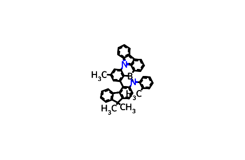 Cc1cc2c3c(c1)-n1c4ccccc4c4cccc(c41)B3N(c1ccccc1C)c1ccc3c(c1-2)-c1ccccc1C3(C)C